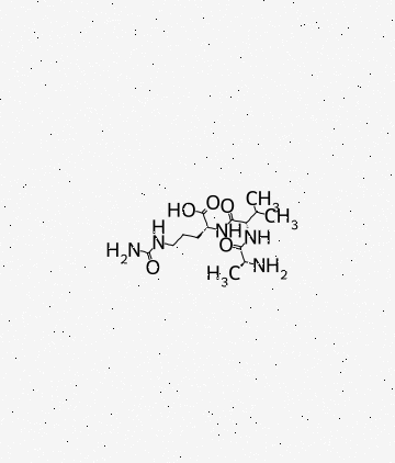 CC(C)[C@H](NC(=O)[C@H](C)N)C(=O)N[C@@H](CCCNC(N)=O)C(=O)O